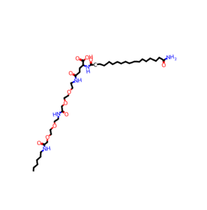 CCCCCCNC(=O)COCCOCCNC(=O)COCCOCCNC(=O)CCC(NC(=O)CCCCCCCCCCCCCCCCC(N)=O)C(=O)O